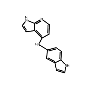 c1cc(Nc2ccc3[nH]ccc3c2)c2cc[nH]c2n1